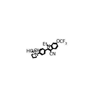 CCn1c(-c2ccc(N3CCCS3(O)O)cc2)c(C#N)c2ccc(OC(F)(F)F)cc21